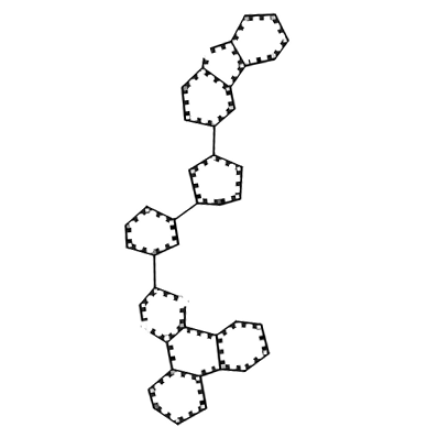 c1cc(-c2cccc(-c3cnc4c5ccccc5c5ccccc5c4n3)c2)cc(-c2ccc3sc4ccccc4c3c2)c1